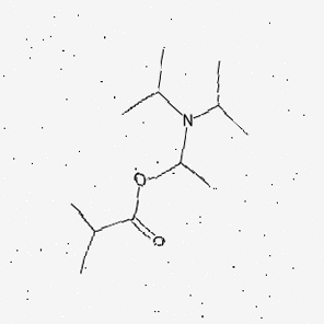 CC(C)C(=O)OC(C)N(C(C)C)C(C)C